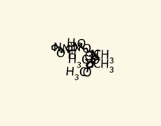 COc1cc(C)c(S(=O)(=O)N(C)CCOCC(=O)N2C[C@@H]3CN(C(=O)CN4CCCC4)C[C@@H]3C2)c(C)c1